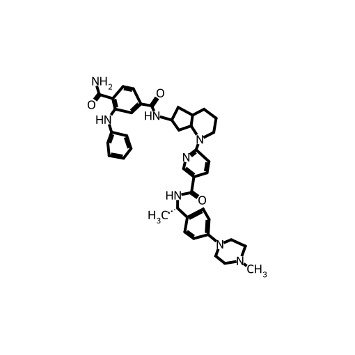 C[C@H](NC(=O)c1ccc(N2CCCC3CC(NC(=O)c4ccc(C(N)=O)c(Nc5ccccc5)c4)CC32)nc1)c1ccc(N2CCN(C)CC2)cc1